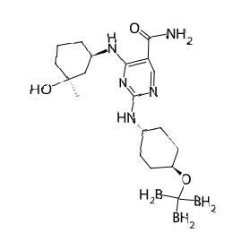 BC(B)(B)O[C@H]1CC[C@H](Nc2ncc(C(N)=O)c(N[C@@H]3CCC[C@](C)(O)C3)n2)CC1